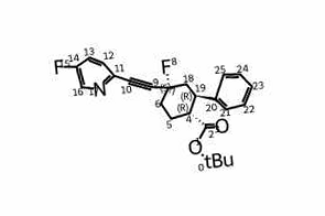 CC(C)(C)OC(=O)[C@@H]1CC[C@@](F)(C#Cc2ccc(F)cn2)C[C@H]1c1ccccc1